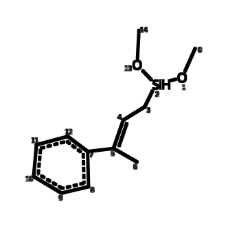 CO[SiH](CC=C(C)c1ccccc1)OC